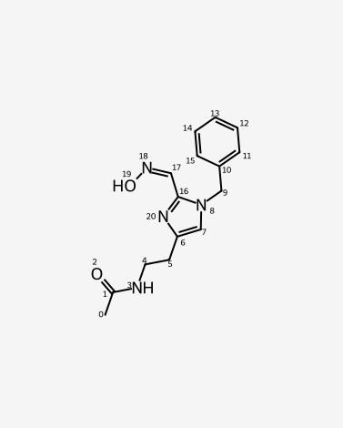 CC(=O)NCCc1cn(Cc2ccccc2)c(/C=N\O)n1